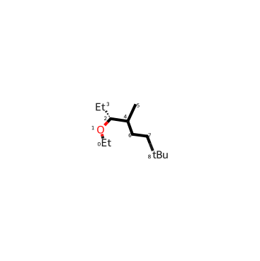 CCO[C@H](CC)C(C)CCC(C)(C)C